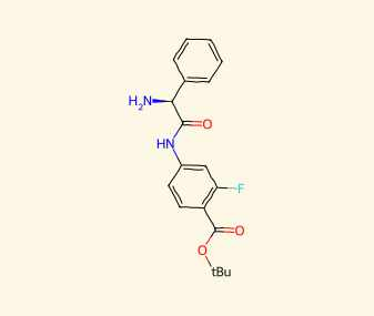 CC(C)(C)OC(=O)c1ccc(NC(=O)[C@@H](N)c2ccccc2)cc1F